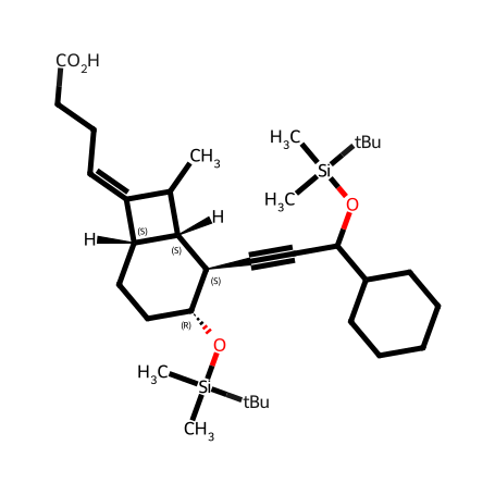 CC1C(=CCCC(=O)O)[C@H]2CC[C@@H](O[Si](C)(C)C(C)(C)C)[C@H](C#CC(O[Si](C)(C)C(C)(C)C)C3CCCCC3)[C@@H]12